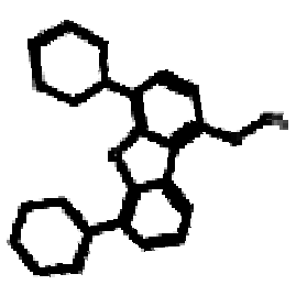 COc1ccc(C2CCCCC2)c2oc3c(C4CCCCC4)cccc3c12